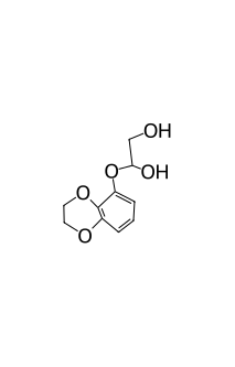 OCC(O)Oc1cccc2c1OCCO2